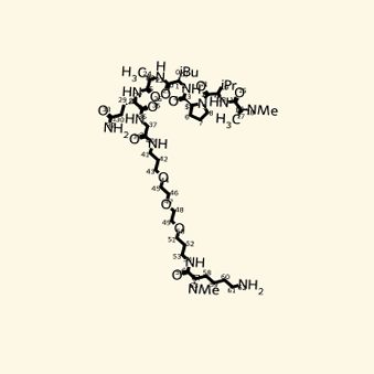 CC[C@H](C)C(NC(=O)[C@@H]1CCCN1C(=O)C(NC(=O)[C@H](C)NC)C(C)C)C(=O)N[C@@H](C)C(=O)N[C@@H](CCC(N)=O)C(=O)NCC(=O)NCCCOCCOCCOCCCNC(=O)[C@H](CCCCN)NC